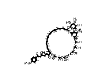 CNc1ccc(C(=O)CC(O)CCC(C)C2OC(=O)CC(O)CC(O)CCCC(O)CC(O)CC(O)CC3(O)CC(O)C(C(=O)O)[C@H](CC(OC4O[C@H](C)[C@@H](O)[C@H](N)[C@@H]4O)/C=C/C=C/C=C/C=C\C=C/C=C/C=C/C2C)O3)cc1